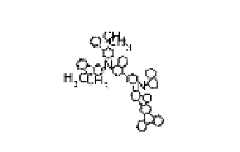 CC1(C)c2ccccc2-c2cc(N(c3ccc4c(c3)-c3ccccc3C4(C)C)c3ccc(-c4ccc5c(c4)c4ccc6c7cc8c9ccccc9c9ccccc9c8cc7oc6c4n5-c4cccc5ccccc45)c4ccccc34)ccc21